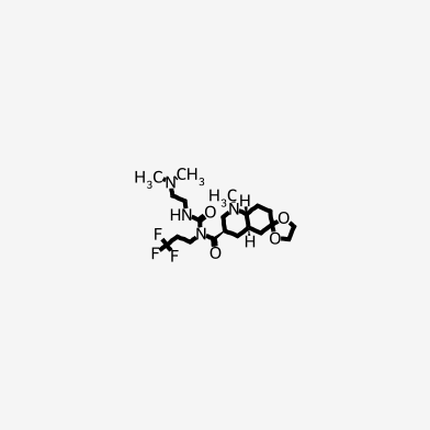 CN(C)CCNC(=O)N(CCC(F)(F)F)C(=O)[C@@H]1C[C@@H]2CC3(CC[C@H]2N(C)C1)OCCO3